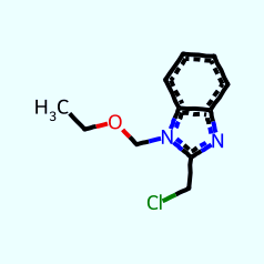 CCOCn1c(CCl)nc2ccccc21